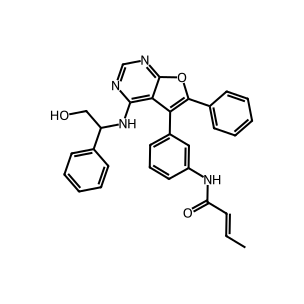 CC=CC(=O)Nc1cccc(-c2c(-c3ccccc3)oc3ncnc(NC(CO)c4ccccc4)c23)c1